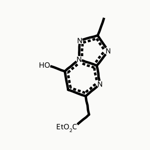 CCOC(=O)Cc1cc(O)n2nc(C)nc2n1